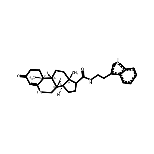 C[C@]12CCC(=O)C=C1NC[C@@H]1[C@H]2CC[C@]2(C)C(C(=O)NCCc3c[nH]c4ccccc34)CC[C@@H]12